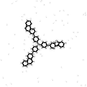 c1ccc2c(c1)ccc1cc(-c3ccc(N(c4ccc(-c5ccc6c(ccc7ccccc76)c5)cc4)c4ccc(-c5cnc6c(c5)oc5ccccc56)cc4)cc3)ccc12